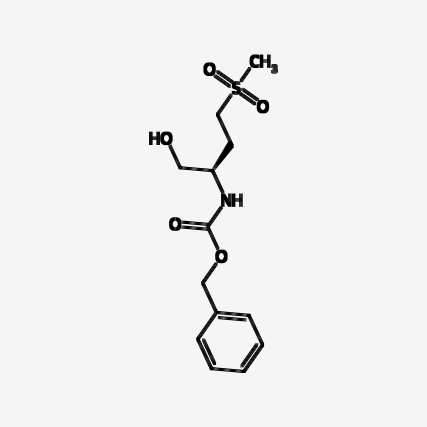 CS(=O)(=O)CC[C@H](CO)NC(=O)OCc1ccccc1